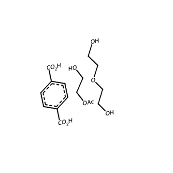 CC(=O)OCCO.O=C(O)c1ccc(C(=O)O)cc1.OCCOCCO